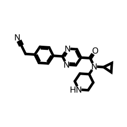 N#CCc1ccc(-c2ncc(C(=O)N(C3CCNCC3)C3CC3)cn2)cc1